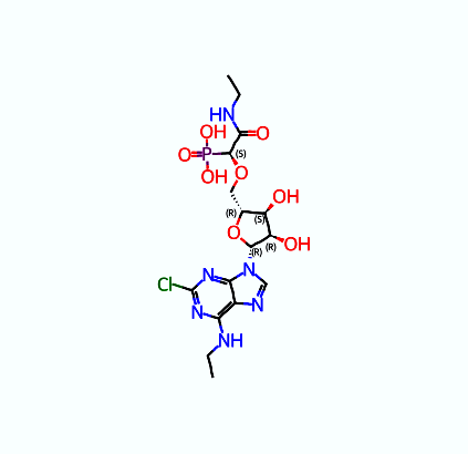 CCNC(=O)[C@@H](OC[C@H]1O[C@@H](n2cnc3c(NCC)nc(Cl)nc32)[C@H](O)[C@@H]1O)P(=O)(O)O